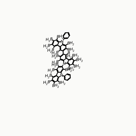 Bc1c(B)c(B)c2c(c1B)c1c(B)c(-c3c(B)c(B)c4c(c3B)c3c(B)c(B)c(B)c(B)c3n4-c3c(B)c(B)c4c5c(B)c(B)c(B)c(B)c5n(-c5ccccc5)c4c3B)c(B)c(B)c1n2-c1ccccc1